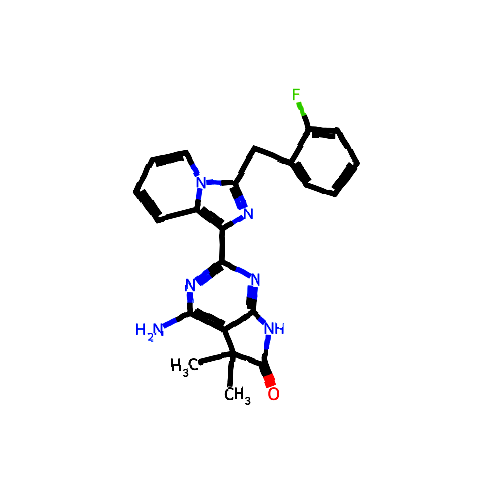 CC1(C)C(=O)Nc2nc(-c3nc(Cc4ccccc4F)n4ccccc34)nc(N)c21